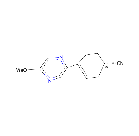 COc1cnc(C2=CC[C@@H](C#N)CC2)cn1